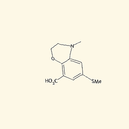 CSc1cc(C(=O)O)c2c(c1)N(C)CCO2